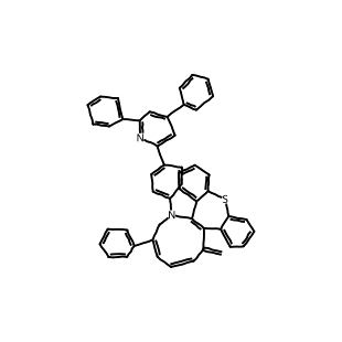 C=C1/C=C\C=C(\c2ccccc2)CN(c2ccc(-c3cc(-c4ccccc4)cc(-c4ccccc4)n3)cc2)C2=C1c1ccccc1Sc1ccccc12